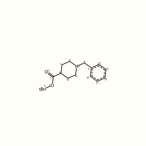 CC(C)(C)OC(=O)C1CCN(Cc2ccccc2)CC1